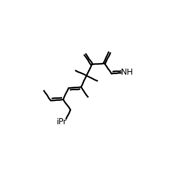 C=C(C=N)C(=C)C(C)(C)/C(C)=C/C(=C\C)CC(C)C